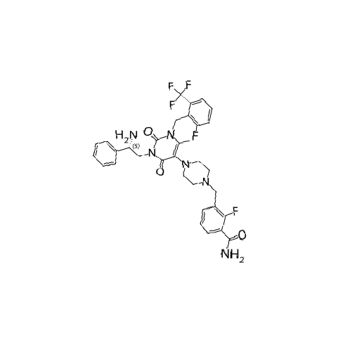 Cc1c(N2CCN(Cc3cccc(C(N)=O)c3F)CC2)c(=O)n(C[C@@H](N)c2ccccc2)c(=O)n1Cc1c(F)cccc1C(F)(F)F